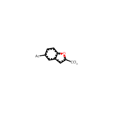 CC(=O)c1ccc2oc(C(Cl)(Cl)Cl)cc2c1